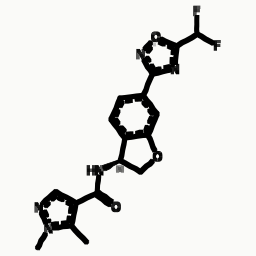 Cc1c(C(=O)N[C@@H]2COc3cc(-c4noc(C(F)F)n4)ccc32)cnn1C